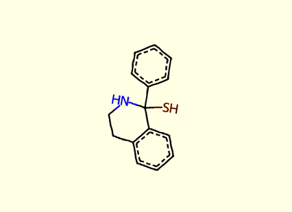 SC1(c2ccccc2)NCCc2ccccc21